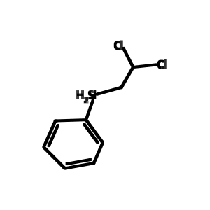 ClC(Cl)C[SiH2]c1ccccc1